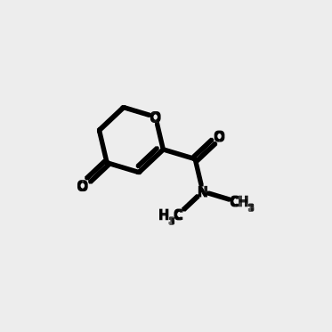 CN(C)C(=O)C1=CC(=O)CCO1